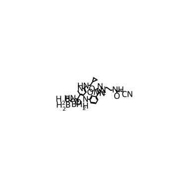 BC(B)(B)NC(=O)c1cnc(NC(=O)C2CC2)cc1Nc1cccc(-c2cnn(CCNC(=O)CC#N)n2)c1OC